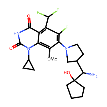 COc1c(N2CCC(C(N)C3(O)CCCC3)C2)c(F)c(C(F)F)c2c(=O)[nH]c(=O)n(C3CC3)c12